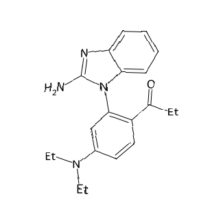 CCC(=O)c1ccc(N(CC)CC)cc1-n1c(N)nc2ccccc21